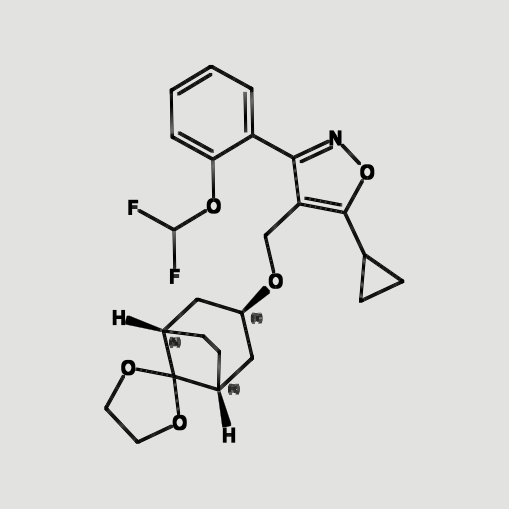 FC(F)Oc1ccccc1-c1noc(C2CC2)c1CO[C@H]1C[C@H]2CC[C@@H](C1)C21OCCO1